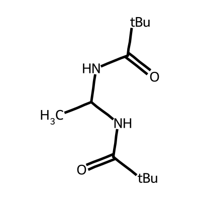 CC(NC(=O)C(C)(C)C)NC(=O)C(C)(C)C